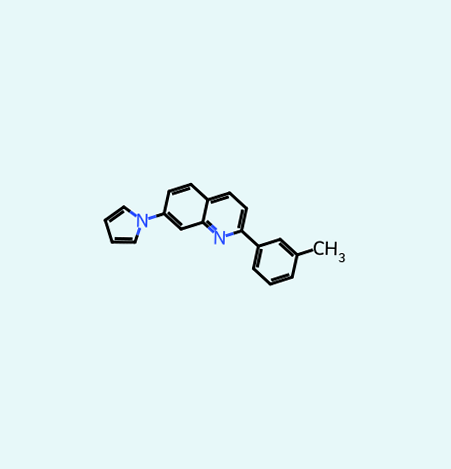 Cc1cccc(-c2ccc3ccc(-n4cccc4)cc3n2)c1